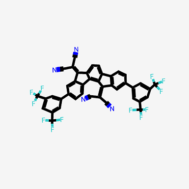 N#CC(C#N)=C1c2cc(-c3cc(C(F)(F)F)cc(C(F)(F)F)c3)ccc2-c2c1ccc1c2C(=C(C#N)C#N)c2cc(-c3cc(C(F)(F)F)cc(C(F)(F)F)c3)ccc2-1